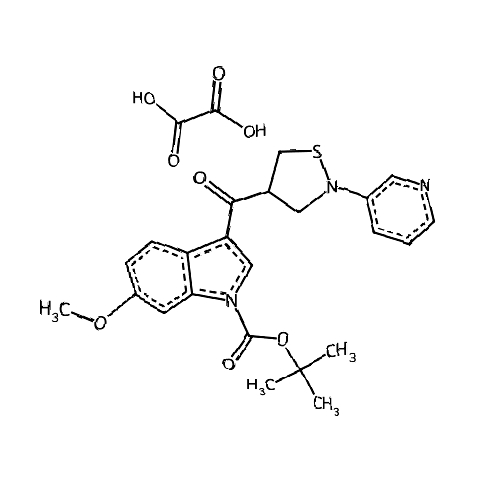 COc1ccc2c(C(=O)C3CSN(c4cccnc4)C3)cn(C(=O)OC(C)(C)C)c2c1.O=C(O)C(=O)O